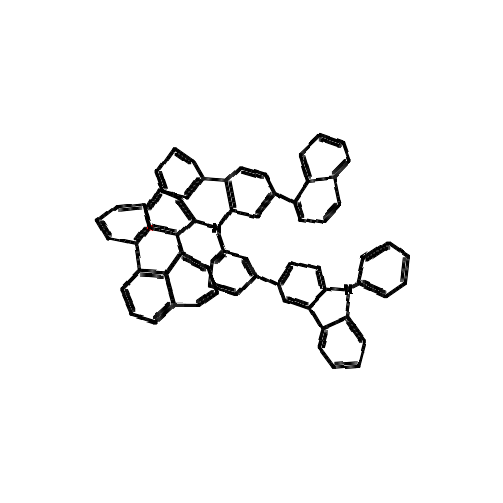 c1ccc(-c2ccc(-c3cccc4ccccc34)cc2N(c2cccc(-c3ccc4c(c3)c3ccccc3n4-c3ccccc3)c2)c2ccccc2-c2cccc3cccc(-c4ccccc4)c23)cc1